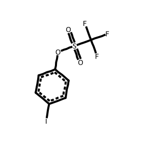 O=S(=O)(Oc1ccc(I)cc1)C(F)(F)F